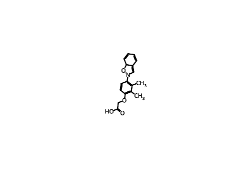 Cc1c(OCC(=O)O)ccc(N2C=C3C=CC=CC3O2)c1C